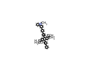 CCn1c2ccccc2c2cc(-c3ccc(-c4ccc(-c5c6ccc(C(C)(C)C)cc6c(-c6ccc(-c7ccccc7)cc6)c6ccc(C(C)(C)C)cc56)cc4)cc3)ccc21